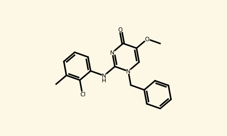 COc1cn(Cc2ccccc2)c(Nc2cccc(C)c2Cl)nc1=O